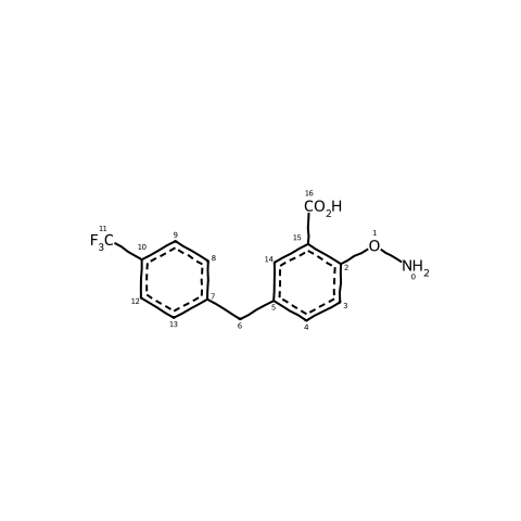 NOc1ccc(Cc2ccc(C(F)(F)F)cc2)cc1C(=O)O